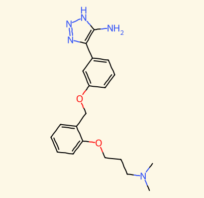 CN(C)CCCOc1ccccc1COc1cccc(-c2nn[nH]c2N)c1